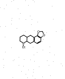 CCN1CCCC2Cc3c(ccc4c3OCO4)CC21